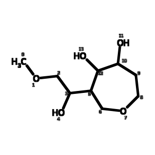 COCC(O)C1COCCC(O)C1O